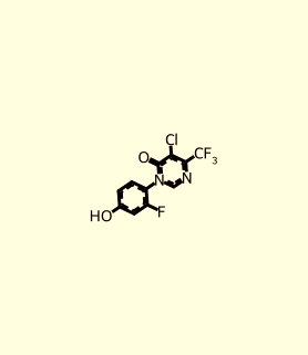 O=c1c(Cl)c(C(F)(F)F)ncn1-c1ccc(O)cc1F